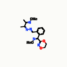 CON=C(C)C(C)=NN=Cc1ccccc1C(=NOC)C1=NOCCO1